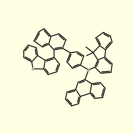 CC1(C)c2ccccc2-c2cccc(N(c3ccc(-c4ccc5ccccc5c4-c4cccc5oc6ccccc6c45)cc3)c3cc4ccccc4c4ccccc34)c21